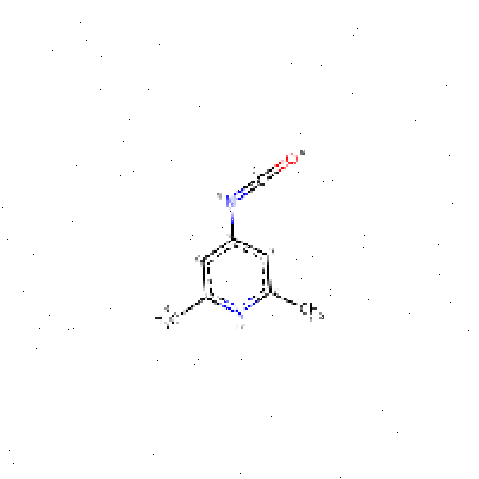 Cc1cc(N=C=O)cc(C)n1